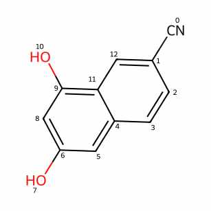 N#Cc1ccc2cc(O)cc(O)c2c1